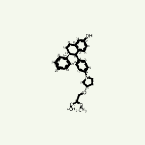 COC(CO[C@H]1CCN(c2ccc(C3c4ccc(O)cc4CC[C@@H]3c3ccccc3)cc2)C1)OC